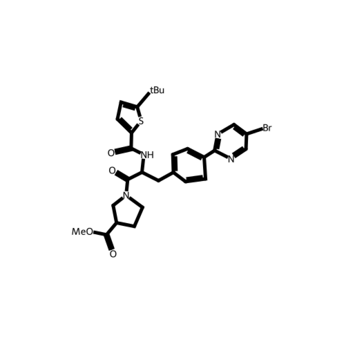 COC(=O)C1CCN(C(=O)C(Cc2ccc(-c3ncc(Br)cn3)cc2)NC(=O)c2ccc(C(C)(C)C)s2)C1